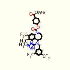 COC(=O)C1CCC(OC(=O)N2CCC[C@H](N(Cc3cc(C(F)(F)F)cc(C(F)(F)F)c3)c3nnn(C)n3)c3cc(C)c(C(F)(F)F)cc32)CC1